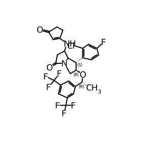 C[C@@H](O[C@H]1CN2C(=O)CC(NC3=CC(=O)CC3)C2[C@@H]1c1ccc(F)cc1Cl)c1cc(C(F)(F)F)cc(C(F)(F)F)c1